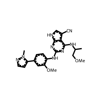 COCC(C)Nc1nc(Nc2ccc(-c3ccnn3C)cc2OC)nc2[nH]cc(C#N)c12